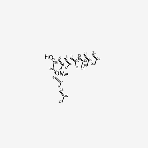 C=CC.C=CC.C=CC.C=CC.C=CC.C=CC.C=CC.C=CC.COCCO